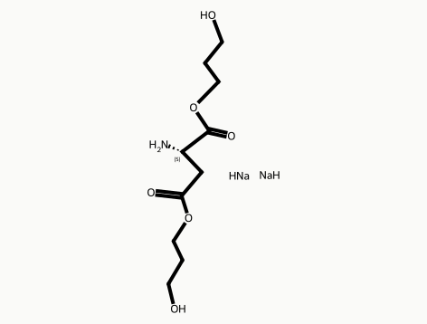 N[C@@H](CC(=O)OCCCO)C(=O)OCCCO.[NaH].[NaH]